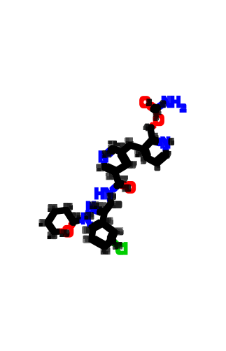 NC(=O)OCc1ncccc1Cc1cncc(C(=O)NCc2nn(C3CCCCO3)c3ccc(Cl)cc23)c1